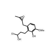 CCC(O)CCc1c(CC2=C(C)O2)ccc(OC)c1O